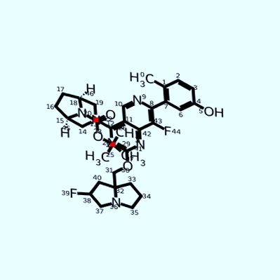 Cc1ccc(O)cc1-c1ncc2c(N3C[C@H]4CC[C@@H](C3)N4C(=O)OC(C)(C)C)nc(OCC34CCCN3CC(F)C4)nc2c1F